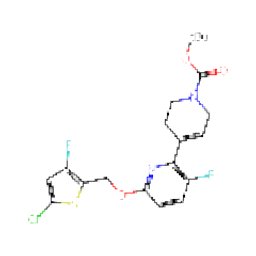 CC(C)(C)OC(=O)N1CC=C(c2nc(OCc3sc(Cl)cc3F)ccc2F)CC1